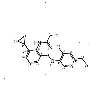 CCC(=S)Nc1c(COc2ccc(CC)cc2C)cccc1C1CC1